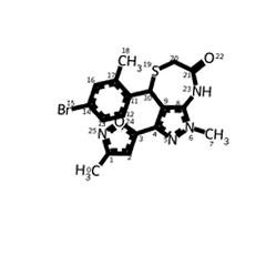 Cc1cc(-c2nn(C)c3c2C(c2ccc(Br)cc2C)SCC(=O)N3)on1